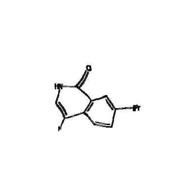 CC(C)c1ccc2c(F)c[nH]c(=O)c2c1